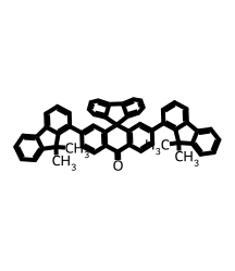 CC1(C)c2ccccc2-c2cccc(-c3ccc4c(c3)C3(c5cc(-c6cccc7c6C(C)(C)c6ccccc6-7)ccc5C4=O)c4ccccc4-c4ccccc43)c21